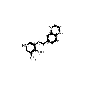 OC1=C(C(F)(F)F)CNC=C1NCc1ccc2nccnc2c1